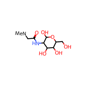 CNCC(=O)NC1C(O)OC(CO)C(O)C1O